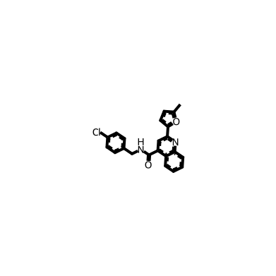 Cc1ccc(-c2cc(C(=O)NCc3ccc(Cl)cc3)c3ccccc3n2)o1